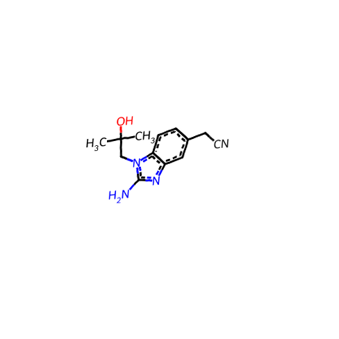 CC(C)(O)Cn1c(N)nc2cc(CC#N)ccc21